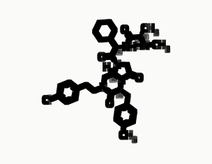 CN[C@@H](C)C(=O)N[C@H](C(=O)N1CC(=O)N2[C@@H]1CN(CCc1ccc(Cl)cc1)C(=O)[C@@H]2Cc1ccc(C)cc1)C1CCCCC1